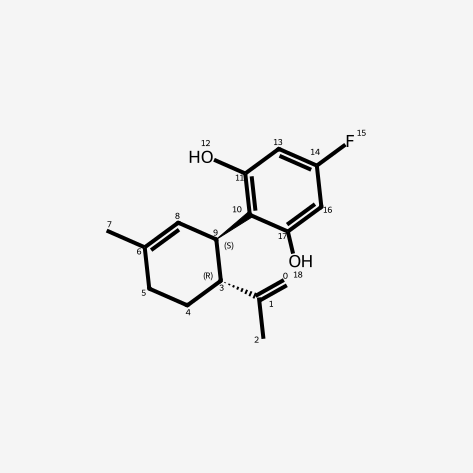 C=C(C)[C@@H]1CCC(C)=C[C@H]1c1c(O)cc(F)cc1O